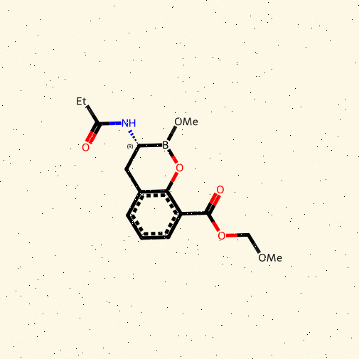 CCC(=O)N[C@H]1Cc2cccc(C(=O)OCOC)c2OB1OC